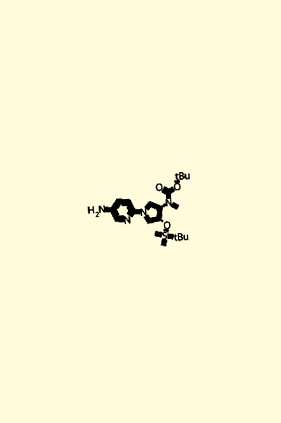 CN(C(=O)OC(C)(C)C)[C@@H]1CN(c2ccc(N)cn2)C[C@H]1O[Si](C)(C)C(C)(C)C